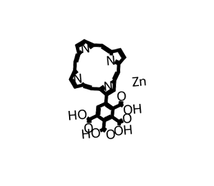 O=C(O)c1cc(C2=CC3=CC4=NC(=CC5=NC(=CC6=NC(=CC2=N3)C=C6)C=C5)C=C4)c(C(=O)O)c(C(=O)O)c1C(=O)O.[Zn]